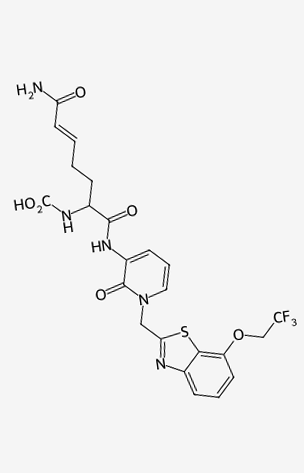 NC(=O)C=CCCC(NC(=O)O)C(=O)Nc1cccn(Cc2nc3cccc(OCC(F)(F)F)c3s2)c1=O